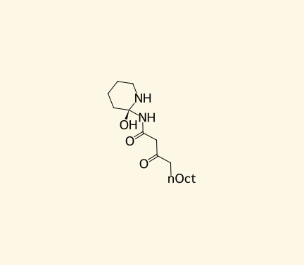 CCCCCCCCCC(=O)CC(=O)N[C@]1(O)CCCCN1